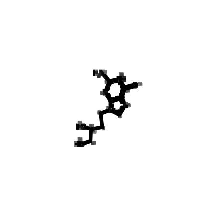 Nc1nc2c(ncn2CC[C@H](O)CO)c(=O)[nH]1